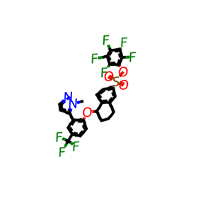 Cn1nccc1-c1cc(C(F)(F)F)ccc1OC1CCCc2cc(S(=O)(=O)Oc3c(F)c(F)c(F)c(F)c3F)ccc21